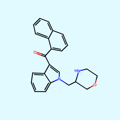 O=C(c1cccc2ccccc12)c1cn(CC2COCCN2)c2ccccc12